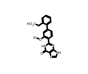 CCOc1cc(-c2ccccc2CC(=O)O)ccc1-c1nc2[nH]cnc2c(=O)[nH]1